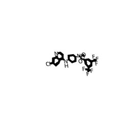 O=S(=O)(N[C@H]1CC[C@@H](Nc2ccnc3cc(Cl)ccc23)CC1)c1cc(C(F)(F)F)cc(C(F)(F)F)c1